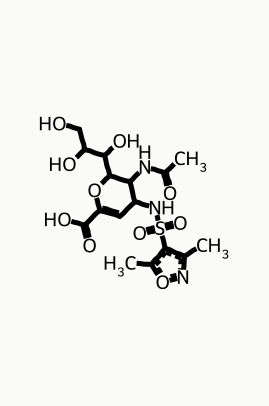 CC(=O)NC1C(NS(=O)(=O)c2c(C)noc2C)C=C(C(=O)O)OC1C(O)C(O)CO